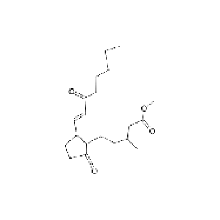 CCCCCC(=O)C=CC1CCC(=O)C1CCC(C)CC(=O)OC